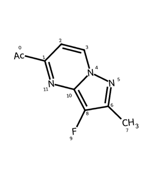 CC(=O)c1ccn2nc(C)c(F)c2n1